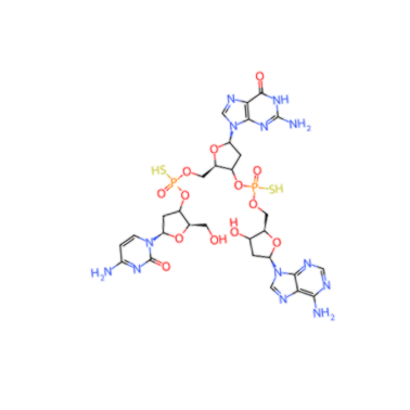 Nc1ccn([C@H]2CC(OP(=O)(S)OC[C@H]3O[C@@H](n4cnc5c(=O)[nH]c(N)nc54)CC3OP(=O)(S)OC[C@H]3O[C@@H](n4cnc5c(N)ncnc54)CC3O)[C@@H](CO)O2)c(=O)n1